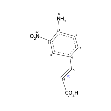 Nc1ccc(/C=C/C(=O)O)cc1[N+](=O)[O-]